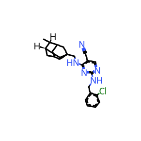 C[C@@H]1C2CC3C[C@H]1CC(CNc1nc(NCc4ccccc4Cl)ncc1C#N)(C3)C2